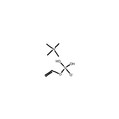 C=CO[Si]([O-])(O)O.C[N+](C)(C)C